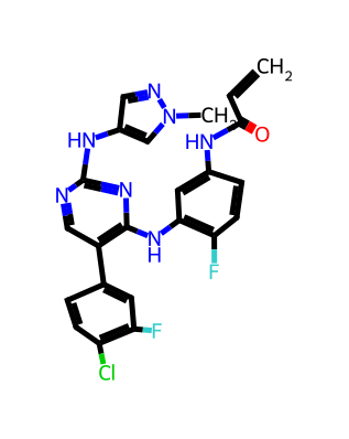 C=CC(=O)Nc1ccc(F)c(Nc2nc(Nc3cnn(C)c3)ncc2-c2ccc(Cl)c(F)c2)c1